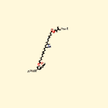 C=C=C=C=CC(CCCCC)CCOC(=O)CCCCCCCCCC(CCCCCCCCCC(=O)OCCC(C)CCCCC)CN(C)C